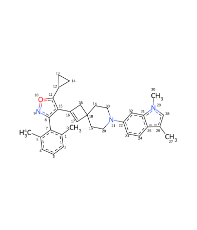 Cc1cccc(C)c1-c1noc(C2CC2)c1C1=CC2(CCN(c3ccc4c(C)cn(C)c4c3)CC2)C1